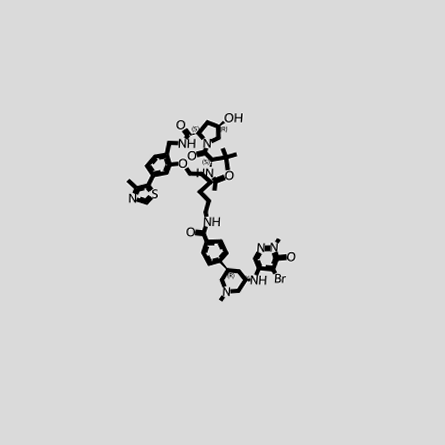 CC(=O)N[C@H](C(=O)N1C[C@H](O)C[C@H]1C(=O)NCc1ccc(-c2scnc2C)cc1OCCCCCCNC(=O)c1ccc([C@H]2C[C@@H](Nc3cnn(C)c(=O)c3Br)CN(C)C2)cc1)C(C)(C)C